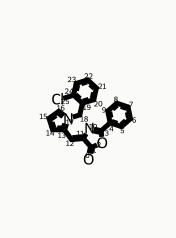 O=C1OC(c2ccccc2)=NC1=Cc1cccn1Cc1ccccc1Cl